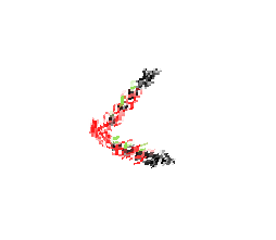 O.O.O.O.O.O.[O-][Si]([O-])([O-])F.[O-][Si]([O-])([O-])F.[O-][Si]([O-])([O-])F.[O-][Si]([O-])([O-])F.[O-][Si]([O-])([O-])F.[O-][Si]([O-])([O-])F.[Zn+2].[Zn+2].[Zn+2].[Zn+2].[Zn+2].[Zn+2].[Zn+2].[Zn+2].[Zn+2]